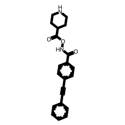 O=C(NOC(=O)C1CCNCC1)c1ccc(C#Cc2ccccc2)cc1